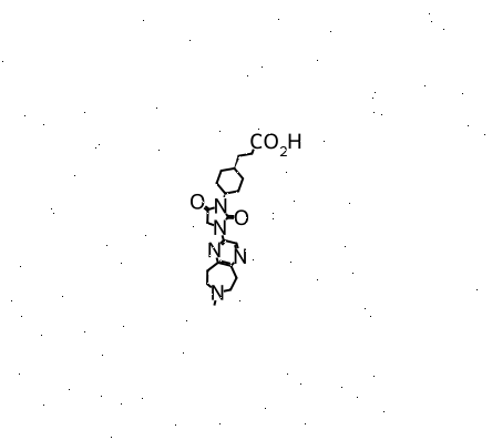 CN1CCc2ncc(N3CC(=O)N([C@H]4CC[C@H](CCC(=O)O)CC4)C3=O)nc2CC1